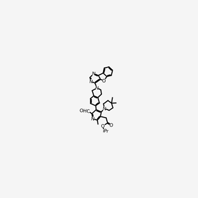 Cc1nc(C=O)c(-c2ccc3c(c2)CCN(c2ncnc4c2oc2ccccc24)C3)c(N2CCC(C)(C)CC2)c1CC(=O)OC(C)C